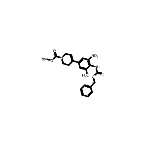 Cc1cc(C2=CCN(C(=O)OC(C)(C)C)CC2)cc([N+](=O)[O-])c1NC(=O)OCc1ccccc1